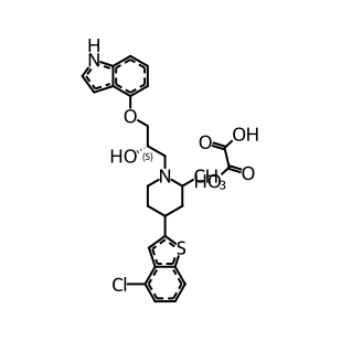 CC1CC(c2cc3c(Cl)cccc3s2)CCN1C[C@H](O)COc1cccc2[nH]ccc12.O=C(O)C(=O)O